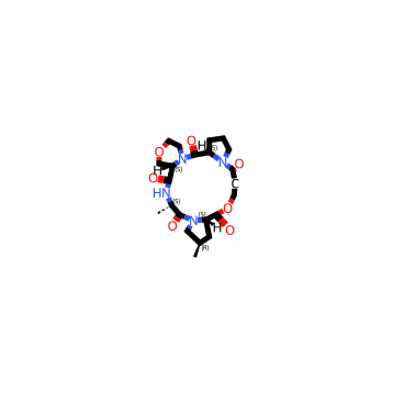 C[C@@H]1C[C@H]2C(=O)OCCC(=O)N3CCC[C@H]3C(=O)N3CCOC[C@H]3C(=O)N[C@@H](C)C(=O)N2C1